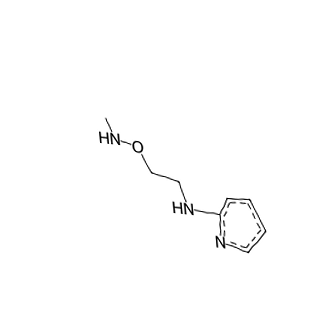 CNOCCNc1ccccn1